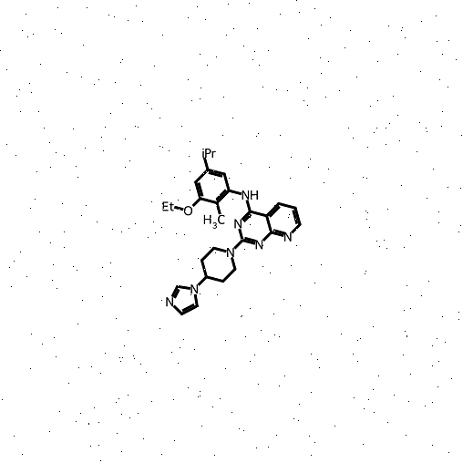 CCOc1cc(C(C)C)cc(Nc2nc(N3CCC(n4ccnc4)CC3)nc3ncccc23)c1C